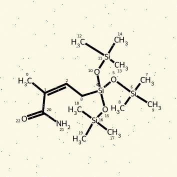 CC(=CC[Si](O[Si](C)(C)C)(O[Si](C)(C)C)O[Si](C)(C)C)C(N)=O